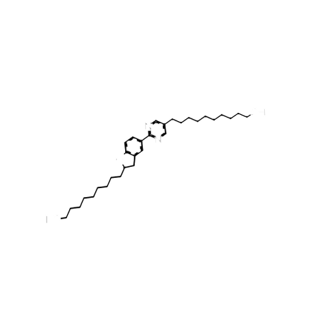 CCCCCCCCCCCc1cnc(-c2ccc3c(c2)CC(CCCCCCCCCC)O3)nc1